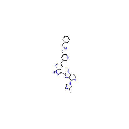 Cc1cn(-c2nccc3[nH]c(-c4n[nH]c5ncc(-c6cncc(CNCc7ccccc7)c6)cc45)nc23)cn1